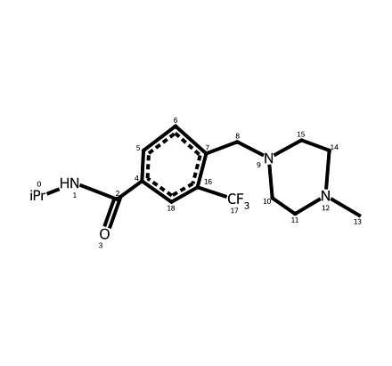 CC(C)NC(=O)c1ccc(CN2CCN(C)CC2)c(C(F)(F)F)c1